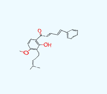 COc1ccc(C(=O)C=CC=Cc2ccccc2)c(O)c1CC=C(C)C